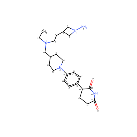 CCN(CCC1CN(N)C1)CC1CCN(c2ccc(C3CCC(=O)NC3=O)cc2)CC1